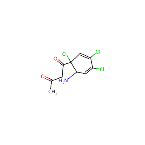 CC(=O)CC(=O)C1(Cl)C=C(Cl)C(Cl)=CC1N